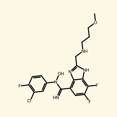 COCCCNCc1nc2c(C(=N)N(O)c3ccc(F)c(Cl)c3)cc(F)c(F)c2[nH]1